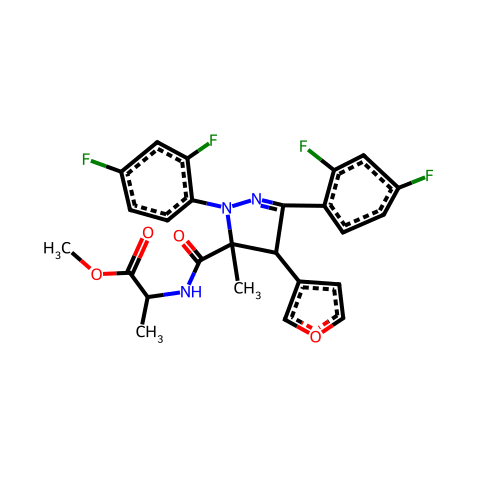 COC(=O)C(C)NC(=O)C1(C)C(c2ccoc2)C(c2ccc(F)cc2F)=NN1c1ccc(F)cc1F